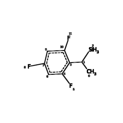 CC([SiH3])c1c(F)cc(F)cc1F